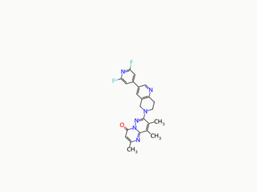 Cc1cc(=O)n2nc(N3CCc4ncc(-c5cc(F)nc(F)c5)cc4C3)c(C)c(C)c2n1